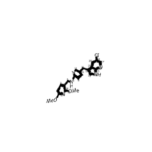 COc1ccc(CNc2ccc(Cc3c[nH]c4ncc(Cl)cc34)cn2)c(OC)n1